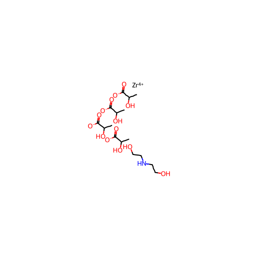 CC(O)C(=O)[O-].CC(O)C(=O)[O-].CC(O)C(=O)[O-].CC(O)C(=O)[O-].OCCNCCO.[Zr+4]